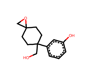 OCC1(c2cccc(O)c2)CCC2(CC1)CO2